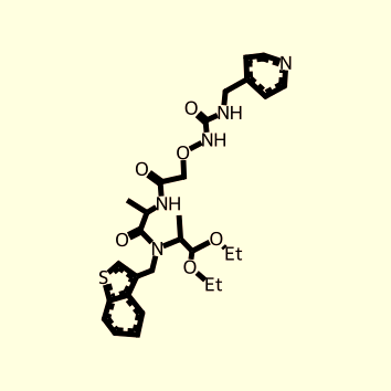 CCOC(OCC)C(C)N(Cc1csc2ccccc12)C(=O)C(C)NC(=O)CONC(=O)NCc1ccncc1